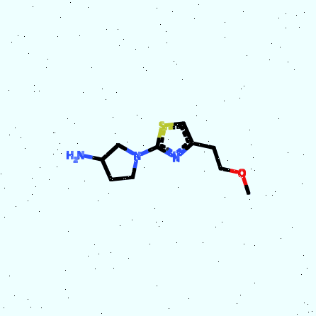 COCCc1csc(N2CCC(N)C2)n1